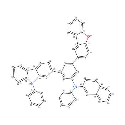 c1ccc(N(c2cc(-c3ccc4oc5ccccc5c4c3)cc(-c3ccc4c5ccccc5n(-c5ccccc5)c4c3)c2)c2ccc3ccccc3c2)cc1